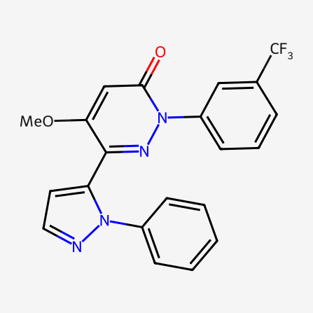 COc1cc(=O)n(-c2cccc(C(F)(F)F)c2)nc1-c1ccnn1-c1ccccc1